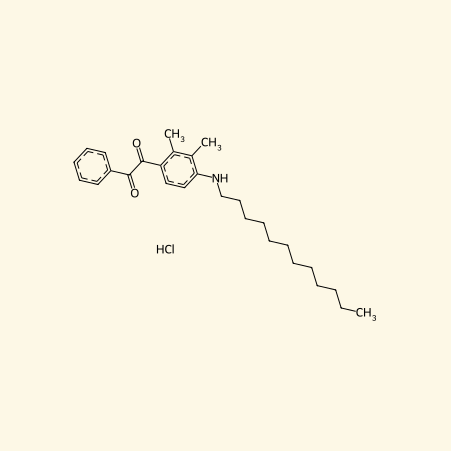 CCCCCCCCCCCCNc1ccc(C(=O)C(=O)c2ccccc2)c(C)c1C.Cl